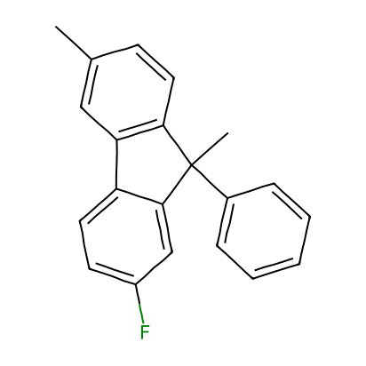 Cc1ccc2c(c1)-c1ccc(F)cc1C2(C)c1ccccc1